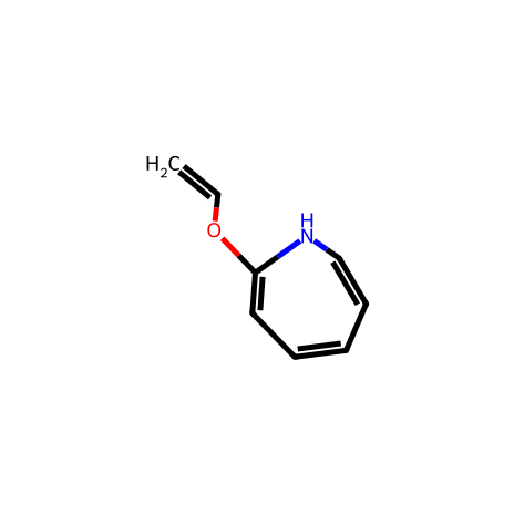 C=COC1=CC=CC=CN1